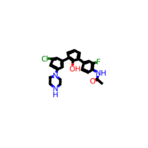 CC(=O)Nc1ccc(-c2cccc(-c3cc(Cl)cc(N4CCNCC4)c3)c2O)cc1F